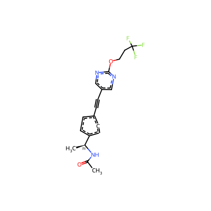 CC(=O)N[C@@H](C)c1ccc(C#Cc2cnc(OCCC(F)(F)F)nc2)cc1